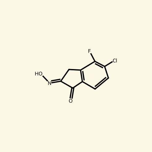 O=C1C(=NO)Cc2c1ccc(Cl)c2F